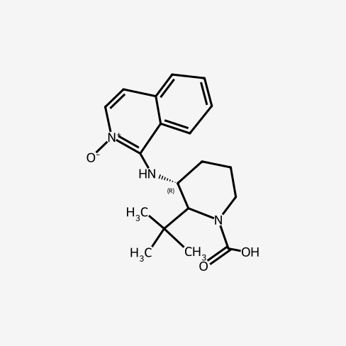 CC(C)(C)C1[C@H](Nc2c3ccccc3cc[n+]2[O-])CCCN1C(=O)O